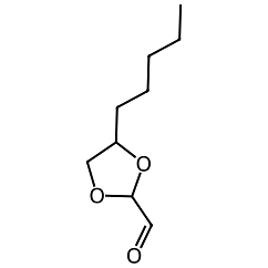 CCCCCC1COC(C=O)O1